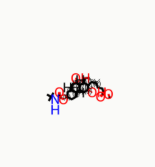 COC(=O)CC[C@@H](C)[C@H]1CC[C@H]2[C@@H]3[C@H](O)C[C@@H]4C[C@H](OC(=O)NC(C)(C)C)CC[C@]4(C)[C@H]3C[C@H](O)[C@]12C